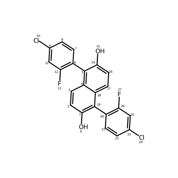 Oc1ccc2c(-c3ccc(Cl)cc3F)c(O)ccc2c1-c1ccc(Cl)cc1F